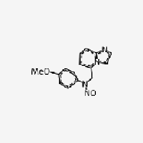 COc1ccc(N(Cc2cccc3nccn23)N=O)cc1